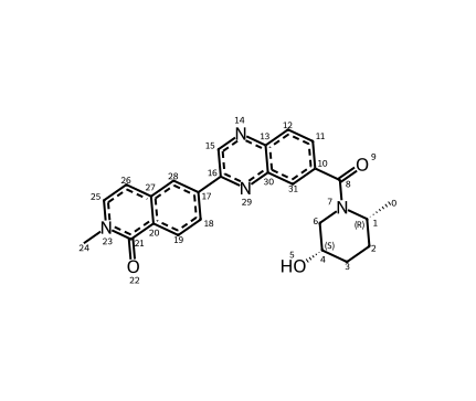 C[C@@H]1CC[C@H](O)CN1C(=O)c1ccc2ncc(-c3ccc4c(=O)n(C)ccc4c3)nc2c1